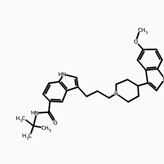 COc1ccc2[nH]cc(C3CCN(CCCc4c[nH]c5ccc(C(=O)NC(C)(C)C)cc45)CC3)c2c1